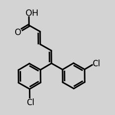 O=C(O)C=CC=C(c1cccc(Cl)c1)c1cccc(Cl)c1